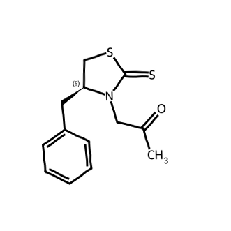 CC(=O)CN1C(=S)SC[C@@H]1Cc1ccccc1